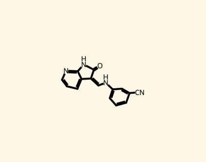 N#Cc1cccc(NC=C2C(=O)Nc3ncccc32)c1